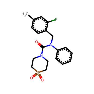 Cc1ccc(CN(C(=O)N2CCS(=O)(=O)CC2)c2ccccc2)c(F)c1